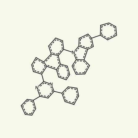 c1ccc(-c2ccc3c(c2)c2ccccc2n3-c2cccc3c4cccc(-c5nc(-c6ccccc6)cc(-c6ccccc6)n5)c4c4ccccc4c23)cc1